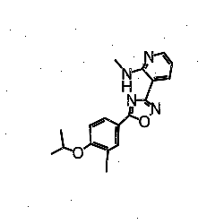 CNc1ncccc1-c1noc(-c2ccc(OC(C)C)c(I)c2)n1